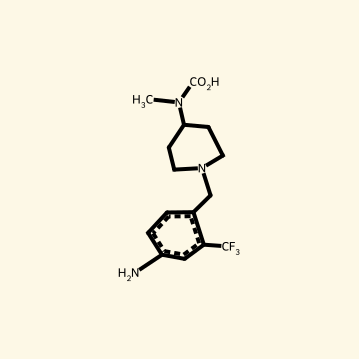 CN(C(=O)O)C1CCN(Cc2ccc(N)cc2C(F)(F)F)CC1